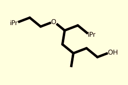 CC(C)CCOC(CC(C)C)CC(C)CCO